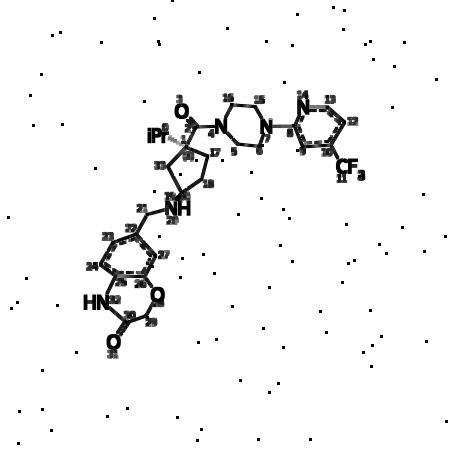 CC(C)[C@]1(C(=O)N2CCN(c3cc(C(F)(F)F)ccn3)CC2)CC[C@@H](NCc2ccc3c(c2)OCC(=O)N3)C1